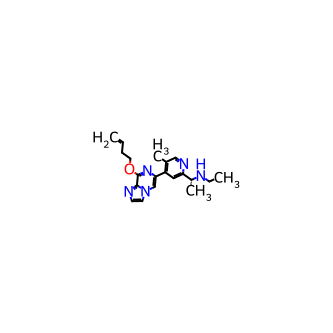 C=CCCOc1nc(-c2cc([C@@H](C)NCC)ncc2C)cn2ccnc12